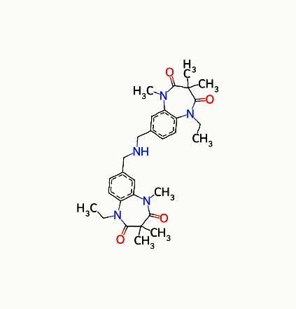 CCN1C(=O)C(C)(C)C(=O)N(C)c2cc(CNCc3ccc4c(c3)N(C)C(=O)C(C)(C)C(=O)N4CC)ccc21